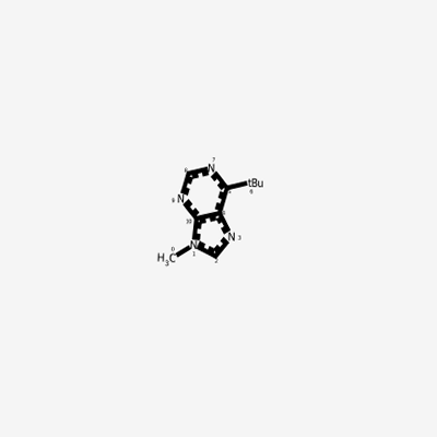 Cn1cnc2c(C(C)(C)C)ncnc21